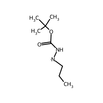 CCC[N]NC(=O)OC(C)(C)C